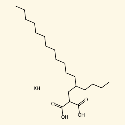 CCCCCCCCCCCCC(CCCC)CC(C(=O)O)C(=O)O.[KH]